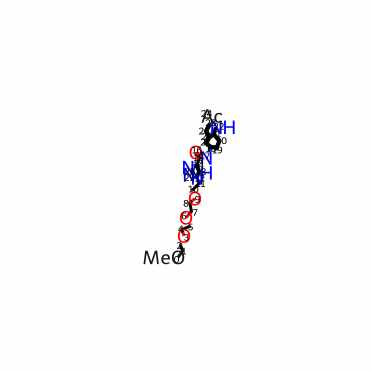 COCCOCCOCCOCCn1cc(C(=O)Nc2ccc3[nH]c(C(C)=O)cc3c2)nn1